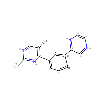 Clc1ncc(Cl)c(-c2cccc(-c3cnccn3)c2)n1